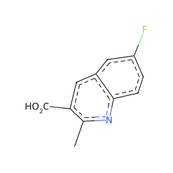 Cc1nc2ccc(F)cc2cc1C(=O)O